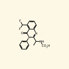 CC(NC(=O)O)c1nc2cccc(C(F)F)c2c(=O)n1-c1ccccc1